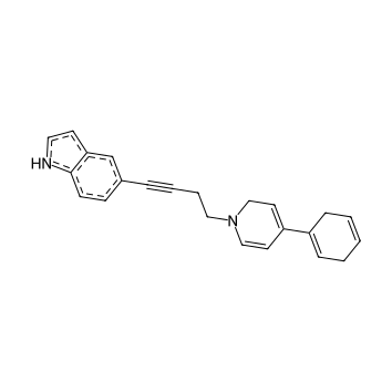 C(#Cc1ccc2[nH]ccc2c1)CCN1C=CC(C2=CCC=CC2)=CC1